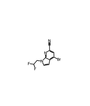 N#Cc1cc(Br)c2ccn(CC(F)F)c2n1